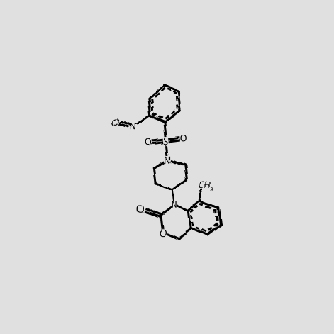 Cc1cccc2c1N(C1CCN(S(=O)(=O)c3ccccc3N=O)CC1)C(=O)OC2